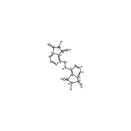 CN1C(=O)c2cccc(SSc3cccc4c3C(=O)N(C)C4=O)c2C1=O